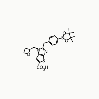 CC1(C)OB(c2ccc(Cc3nc4sc(C(=O)O)cc4n3C[C@@H]3CCO3)cc2)OC1(C)C